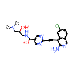 CCN(CC)CC(O)CNC(O)c1cnc(C#Cc2c(N)ncc3ccc(Cl)cc23)nc1